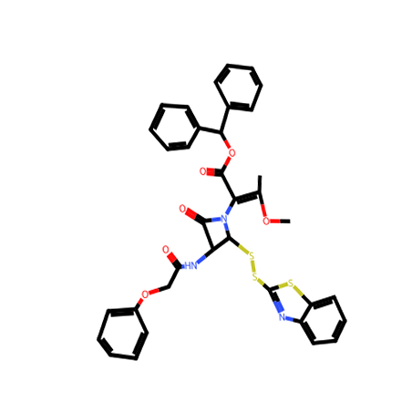 COC(C)=C(C(=O)OC(c1ccccc1)c1ccccc1)N1C(=O)C(NC(=O)COc2ccccc2)C1SSc1nc2ccccc2s1